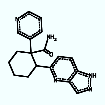 NC(=O)C1(c2cccnc2)CCCCC1c1ccc2[nH]ncc2n1